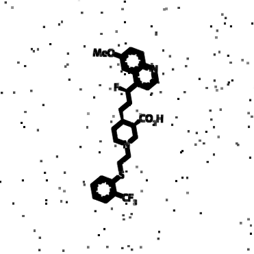 COc1ccc2nccc([C@H](F)CC[C@@H]3CCN(CCSc4ccccc4C(F)(F)F)C[C@@H]3C(=O)O)c2c1